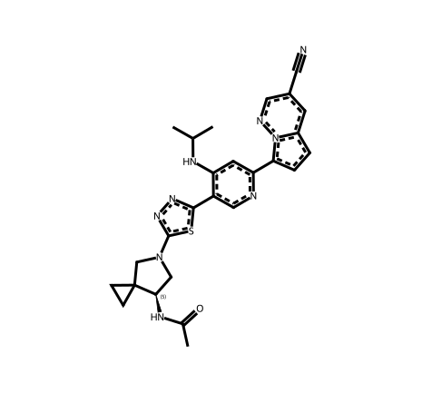 CC(=O)N[C@@H]1CN(c2nnc(-c3cnc(-c4ccc5cc(C#N)cnn45)cc3NC(C)C)s2)CC12CC2